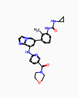 Cc1c(NC(=O)NC2CC2)cccc1-c1cc(Nc2ccc(C(=O)N3CCOCC3)cn2)c2nccn2c1